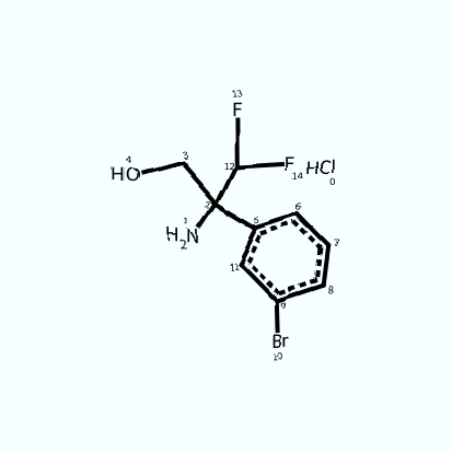 Cl.NC(CO)(c1cccc(Br)c1)C(F)F